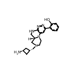 N[C@H]1C[C@H](CN2CCN3c4cc(-c5ccccc5O)nnc4NC[C@H]3C2)C1